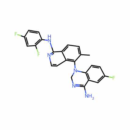 Cc1ccc2c(Nc3ccc(F)cc3F)nccc2c1N1CN=C(N)c2cc(F)ccc21